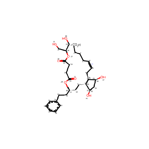 O=C(O)CCC/C=C\C[C@@H]1[C@@H](CC[C@H](CCc2ccccc2)OC(=O)CCC(=O)OC(CO)CO)[C@H](O)C[C@@H]1O